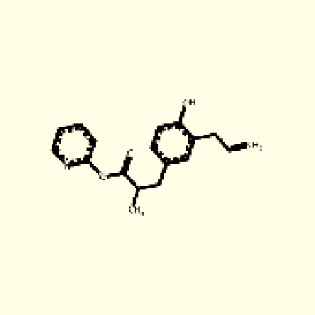 C=CCc1cc(CC(C)C(=O)Oc2ccccn2)ccc1O